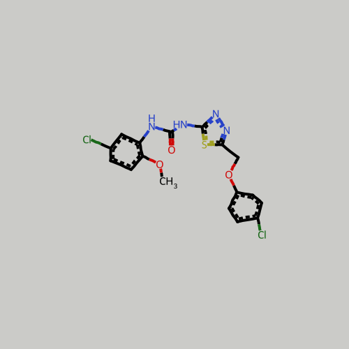 COc1ccc(Cl)cc1NC(=O)Nc1nnc(COc2ccc(Cl)cc2)s1